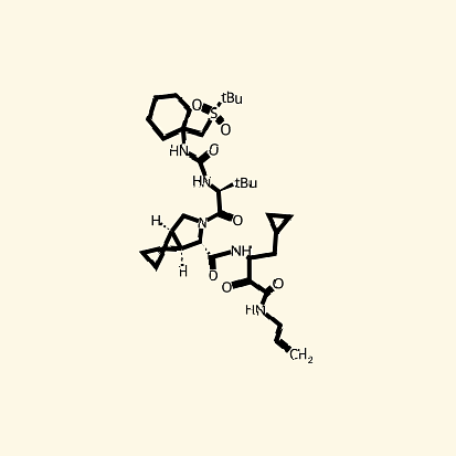 C=CCNC(=O)C(=O)C(CC1CC1)NC(=O)[C@@H]1[C@@H]2[C@H](CN1C(=O)[C@@H](NC(=O)NC1(CS(=O)(=O)C(C)(C)C)CCCCC1)C(C)(C)C)C21CC1